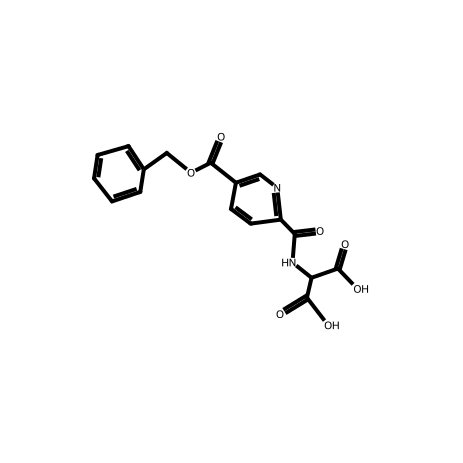 O=C(OCc1ccccc1)c1ccc(C(=O)NC(C(=O)O)C(=O)O)nc1